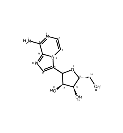 Nc1nccn2c(C3O[C@H](CO)[C@@H](O)[C@H]3O)cnc12